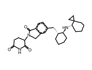 O=C1CCC(N2Cc3cc(C[C@H]4CCCC[C@@H]4N[C@H]4CCCCC45CC5)ccc3C2=O)C(=O)N1